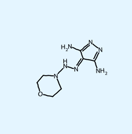 NC1=NN=C(N)C1=NNN1CCOCC1